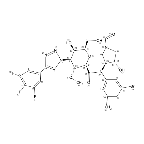 CO[C@@H]1[C@@H](n2cc(-c3cc(F)c(F)c(F)c3)nn2)[C@@H](O)[C@@H](CO)O[C@H]1C(=O)N(c1cc(C)cc(Br)c1)[C@H]1CN(C=O)C[C@@H]1O